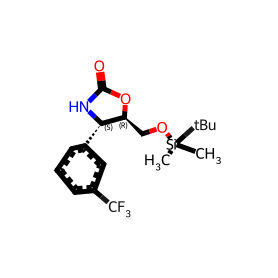 CC(C)(C)[Si](C)(C)OC[C@@H]1OC(=O)N[C@H]1c1cccc(C(F)(F)F)c1